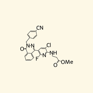 COC(=O)CCNc1nc(F)c(-c2nn(Cc3ccc(C#N)cc3)c(=O)c3ccccc23)cc1Cl